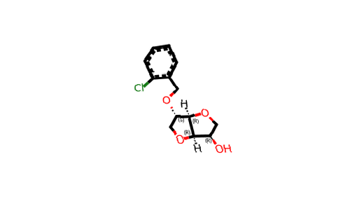 O[C@@H]1CO[C@H]2[C@@H]1OC[C@@H]2OCc1ccccc1Cl